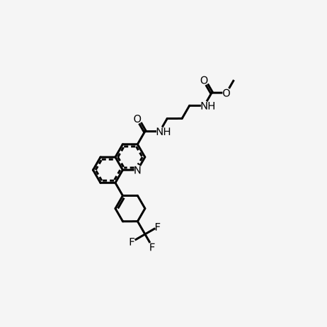 COC(=O)NCCCNC(=O)c1cnc2c(C3=CCC(C(F)(F)F)CC3)cccc2c1